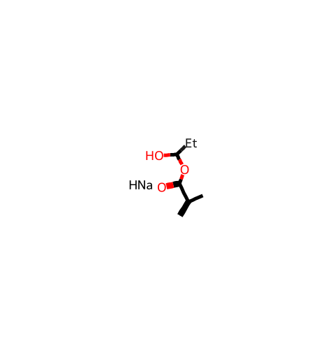 C=C(C)C(=O)OC(O)CC.[NaH]